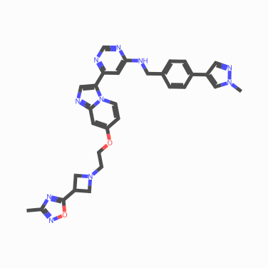 Cc1noc(C2CN(CCOc3ccn4c(-c5cc(NCc6ccc(-c7cnn(C)c7)cc6)ncn5)cnc4c3)C2)n1